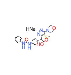 CSc1c(C(C(=O)O)c2ccc(NC(=O)Nc3ccccc3)cc2)ncnc1N1CCOCC1.[NaH]